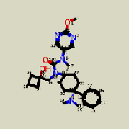 COc1ncc(N2C[C@]3(CC[C@@](c4ccccc4)(N(C)C)CC3)N(CC3(O)CCC3)C2=O)cn1